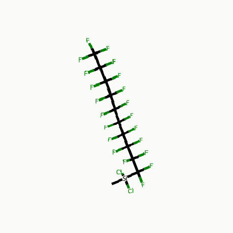 C[Si](Cl)(Cl)C(F)(F)C(F)(F)C(F)(F)C(F)(F)C(F)(F)C(F)(F)C(F)(F)C(F)(F)C(F)(F)C(F)(F)F